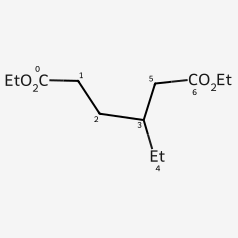 CCOC(=O)CCC(CC)CC(=O)OCC